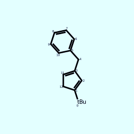 CC(C)(C)C1=CC(Cc2ccccc2)=CC1